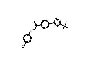 O=C(CSc1ccc(Cl)cc1)c1ccc(-c2noc(C(F)(F)F)n2)cc1